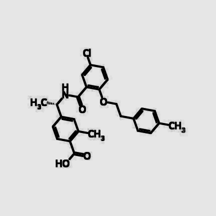 Cc1ccc(CCOc2ccc(Cl)cc2C(=O)N[C@@H](C)c2ccc(C(=O)O)c(C)c2)cc1